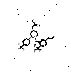 CCCc1ccc(C(F)(F)F)c(CN2CC[C@H](CC(=O)O)C[C@@H]2C2C=CC(C(F)(F)F)=CC2)c1